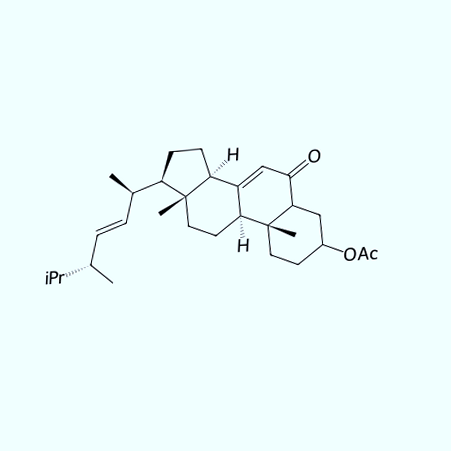 CC(=O)OC1CC[C@@]2(C)C(C1)C(=O)C=C1[C@@H]3CC[C@H]([C@H](C)/C=C/[C@H](C)C(C)C)[C@@]3(C)CC[C@@H]12